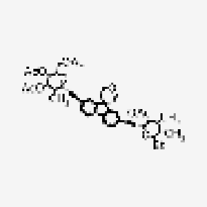 CC[C@H]1O[C@H](C#Cc2ccc3c(c2)C2(CCOCC2)c2cc(C#C[C@H]4O[C@H](COC(C)=O)[C@@H](OC(C)=O)[C@H](OC(C)=O)[C@@H]4C)ccc2-3)[C@@H](OC(C)=O)[C@@H](C)[C@@H]1C